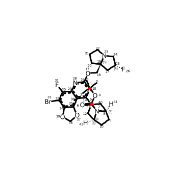 CC(C)(C)OC(=O)N1[C@@H]2CC[C@H]1CN(c1nc(OC[C@@]34CCCN3C[C@H](F)C4)nc3c(F)c(Br)c4c(c13)OCO4)C2